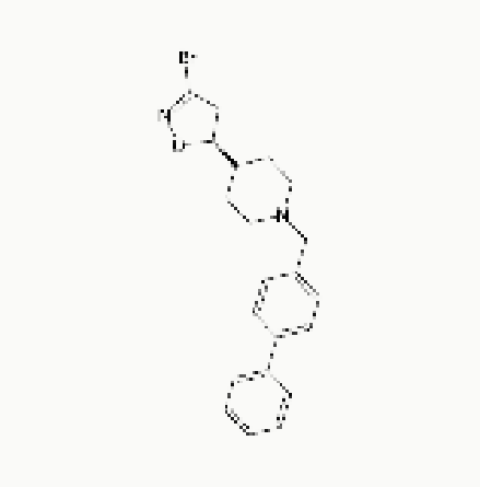 BrC1=NO[C@H](C2CCN(Cc3ccc(-c4ccccc4)cc3)CC2)C1